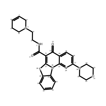 O=C(NCCN1CC=CCC1)c1c(=O)c2ccc(N3CCOCC3)nc2n2c1sc1ccccc12